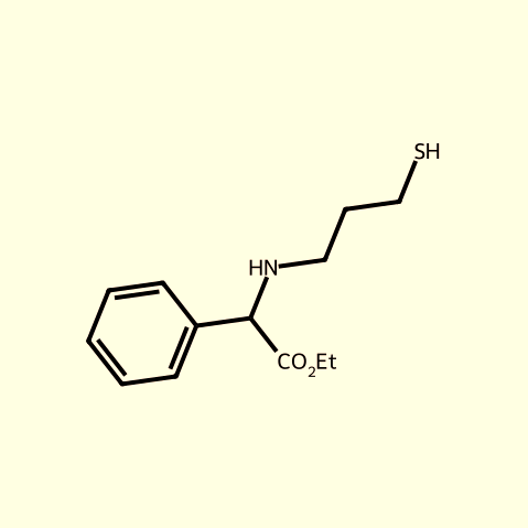 CCOC(=O)C(NCCCS)c1ccccc1